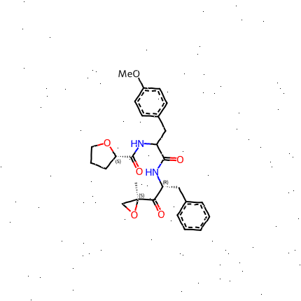 COc1ccc(CC(NC(=O)[C@@H]2CCCO2)C(=O)N[C@H](Cc2ccccc2)C(=O)[C@]2(C)CO2)cc1